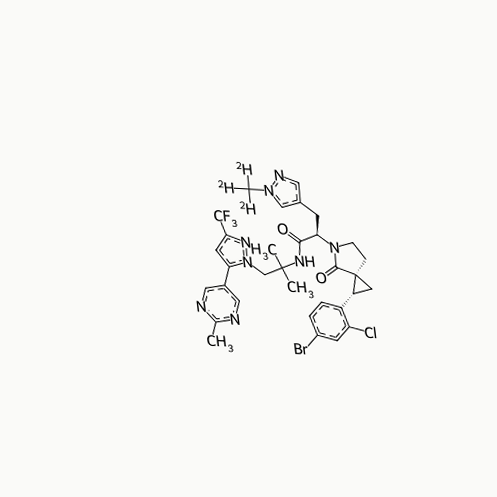 [2H]C([2H])([2H])n1cc(C[C@H](C(=O)NC(C)(C)Cn2nc(C(F)(F)F)cc2-c2cnc(C)nc2)N2CC[C@@]3(C[C@@H]3c3ccc(Br)cc3Cl)C2=O)cn1